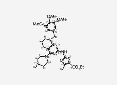 CCOC(=O)c1sc(Nc2nc(N3CCN(C)CC3)c3c(n2)N(Cc2cc(OC)c(OC)c(OC)c2)CCC3)nc1C